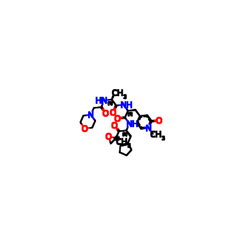 C[C@H](NC(=O)CN1CCOCC1)C(=O)N[C@@H](Cc1ccn(C)c(=O)c1)C(=O)N[C@@H](CC1=CCCC1)C(=O)[C@]1(C)CO1